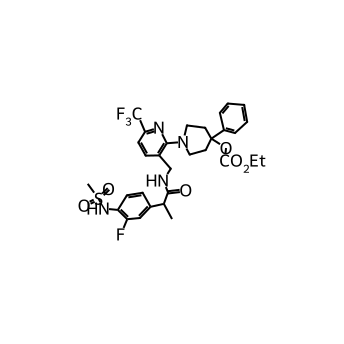 CCOC(=O)OC1(c2ccccc2)CCN(c2nc(C(F)(F)F)ccc2CNC(=O)C(C)c2ccc(NS(C)(=O)=O)c(F)c2)CC1